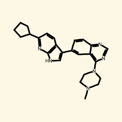 CN1CCN(c2ncnc3ccc(-c4c[nH]c5nc(C6CCCC6)ccc45)cc23)CC1